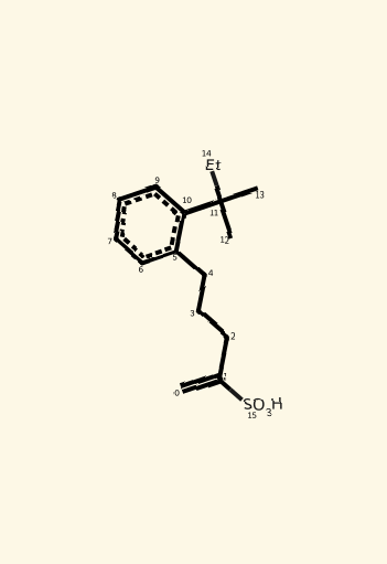 C=C(CCCc1ccccc1C(C)(C)CC)S(=O)(=O)O